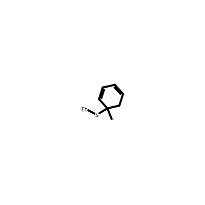 [CH2]C1(SCC)C=CC=CC1